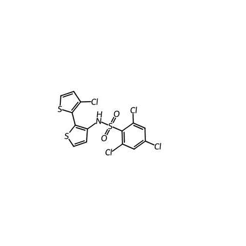 O=S(=O)(Nc1ccsc1-c1sccc1Cl)c1c(Cl)cc(Cl)cc1Cl